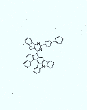 c1ccc(-c2ccc(-c3nc(-n4c5ccc6ccccc6c5c5c6c7ccccc7n7c8ccccc8c(cc54)c67)c4oc5ccccc5c4n3)cc2)cc1